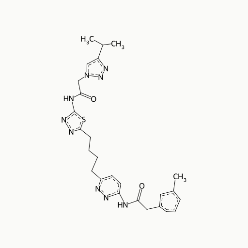 Cc1cccc(CC(=O)Nc2ccc(CCCCc3nnc(NC(=O)Cn4cc(C(C)C)nn4)s3)nn2)c1